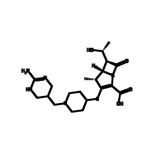 C[C@@H](O)[C@H]1C(=O)N2C(C(=O)O)=C(SC3CCN(CC4CN=C(N)NC4)CC3)[C@H](C)[C@H]12